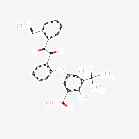 C=Cc1ccccc1C(=O)C(=O)c1ccccc1Oc1cc(C(=O)O)c(O)c(C(C)(C)C)c1